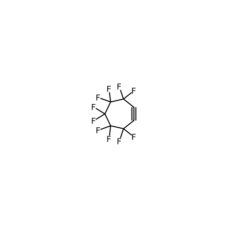 FC1(F)C#CC(F)(F)C(F)(F)C(F)(F)C1(F)F